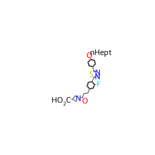 CCCCCCCOc1ccc(-c2nnc(-c3ccc(CCC(=O)N4CC(C(=O)O)C4)cc3F)s2)cc1